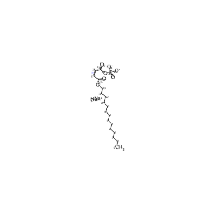 CCCCCCCCCCCCCCOC(=O)/C=C\C(=O)OP(=O)([O-])[O-].[Na+].[Na+]